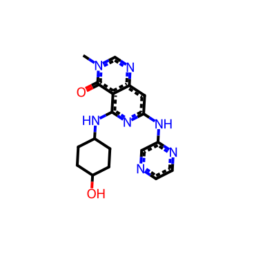 Cn1cnc2cc(Nc3cnccn3)nc(NC3CCC(O)CC3)c2c1=O